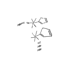 Br.Br.Br.Cl.Cl.Cl.[CH3][Zr]([CH3])([CH3])([CH3])([CH3])[C]1=CC=CC1.[CH3][Zr]([CH3])([CH3])([CH3])([CH3])[C]1=CC=CC1